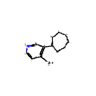 CC(C)(C)c1ccncc1C1CCCCCC1